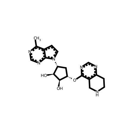 Cc1ncnc2c1ccn2[C@@H]1C[C@H](Oc2ncnc3c2CNCC3)[C@@H](O)[C@H]1O